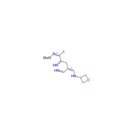 CN/N=C(/I)C(=N)C/C(C=N)=C/NC1COC1